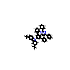 CC(C)(C)c1ccc2c(c1)c1cc(C(C)(C)C)ccc1n2-c1cc(-c2ccccc2)c(-c2cc(-c3ccccc3)nc(-c3ccccc3)n2)c(-c2ccccc2)c1